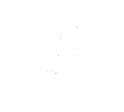 CC1(C)CC[C@]2(C(=O)O)CC[C@]3(C)C(=CCC4[C@@]5(C)CCC(O)C(C)(C)[C@@H]5CC[C@]43C)C2C1